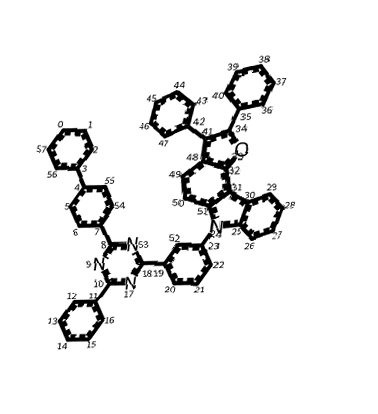 c1ccc(-c2ccc(-c3nc(-c4ccccc4)nc(-c4cccc(-n5c6ccccc6c6c7oc(-c8ccccc8)c(-c8ccccc8)c7ccc65)c4)n3)cc2)cc1